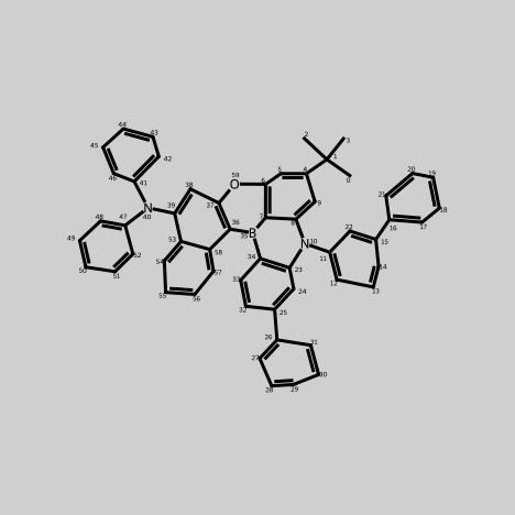 CC(C)(C)c1cc2c3c(c1)N(c1cccc(-c4ccccc4)c1)c1cc(-c4ccccc4)ccc1B3c1c(cc(N(c3ccccc3)c3ccccc3)c3ccccc13)O2